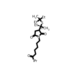 CCC(C)(CC)S[C@@](C)(CC)C1CC(=O)N(CCCCCC(=O)C(C)C)C1=O